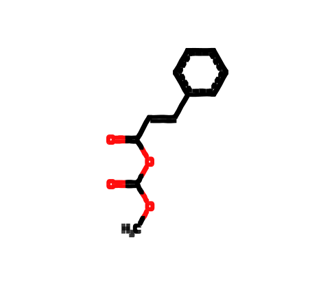 COC(=O)OC(=O)/C=C/c1ccccc1